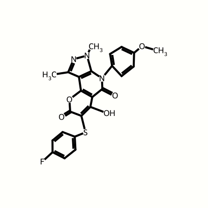 COc1ccc(-n2c(=O)c3c(O)c(Sc4ccc(F)cc4)c(=O)oc3c3c(C)nn(C)c32)cc1